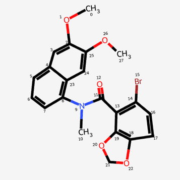 COc1cc2cccc(N(C)C(=O)c3c(Br)ccc4c3OCO4)c2cc1OC